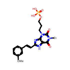 CCn1c(=O)c2[nH]c(C=Cc3cccc(OC)c3)nc2n(CCCOP(=O)(O)O)c1=O